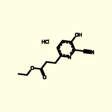 CCOC(=O)CCc1ccc(O)c(C#N)n1.Cl